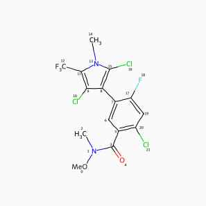 CON(C)C(=O)c1cc(-c2c(Cl)c(C(F)(F)F)n(C)c2Cl)c(F)cc1Cl